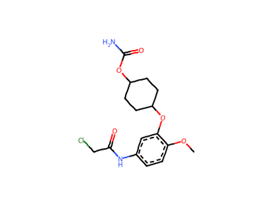 COc1ccc(NC(=O)CCl)cc1OC1CCC(OC(N)=O)CC1